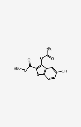 CCCCOC(=O)c1sc2ccc(O)cc2c1OC(=O)C(C)(C)C